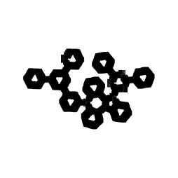 c1ccc(-c2cc(-c3cccc(N4c5ccccc5-c5c(n(-c6nc(-c7ccccc7)nc(-c7ccccc7)n6)c6ccccc56)-c5ccccc54)c3)cc(-c3ccccn3)c2)cc1